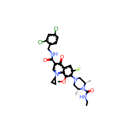 CCNC(=O)N1[C@H](C)CN(c2c(F)cc3c(=O)c(C(=O)NCc4ccc(Cl)cc4Cl)cn(C4CC4)c3c2OC)C[C@@H]1C